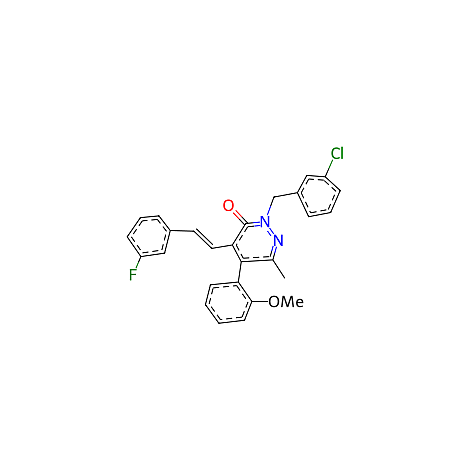 COc1ccccc1-c1c(C)nn(Cc2cccc(Cl)c2)c(=O)c1C=Cc1cccc(F)c1